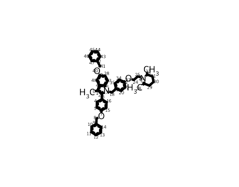 Cc1c(-c2ccc(OCc3ccccc3)cc2)n(Cc2ccc(OCCN3C(C)CCCC3C)cc2)c2ccc(OCc3ccccc3)cc12